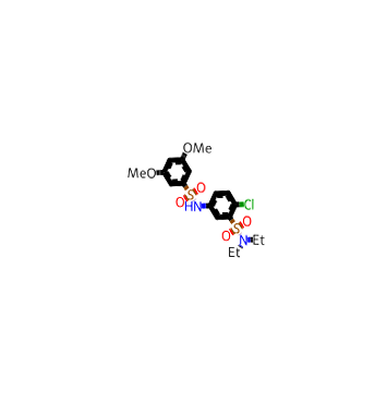 CCN(CC)S(=O)(=O)c1cc(NS(=O)(=O)c2cc(OC)cc(OC)c2)ccc1Cl